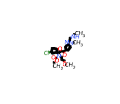 CCNCc1nc2cc(C(=O)c3oc4ccc(Cl)cc4c3N(CCCOC)C(=O)OCC)ccc2n1C